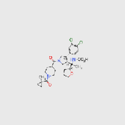 CC1(C(=O)N2CCC(C(=O)N3C[C@H](c4ccc(Cl)c(Cl)c4)[C@@H](C(C)(NC(=O)O)[C@@H]4CCCO4)C3)CC2)CC1